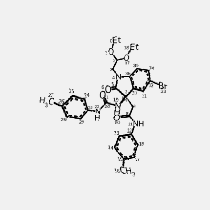 CCOC(CN1C(=O)[C@@](CC(=O)Nc2ccc(C)cc2)(NC(=O)Nc2ccc(C)cc2)c2cc(Br)ccc21)OCC